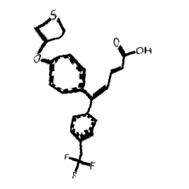 O=C(O)/C=C/C=C(\c1ccc(OC2CSC2)cc1)c1ccc(C(F)(F)F)cc1